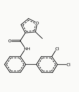 Cc1occc1C(=O)Nc1ccccc1-c1ccc(Cl)c(Cl)c1